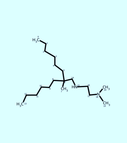 CCCCCCC(C)(CCCCCC)CNCCN(C)C